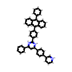 c1ccc(-c2cc(-c3ccc(-c4cccnc4)cc3)nc(-c3ccc(-c4c5ccccc5c(-c5ccccc5)c5ccccc45)cc3)n2)cc1